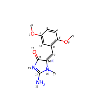 COc1ccc(OC)c(/C=C2\C(=O)N=C(N)N2C)c1